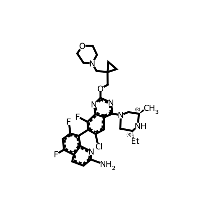 CC[C@@H]1CN(c2nc(OCC3(CN4CCOCC4)CC3)nc3c(F)c(-c4c(F)cc(F)c5ccc(N)nc45)c(Cl)cc23)C[C@@H](C)N1